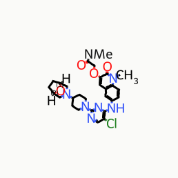 CNC(=O)COc1cc2cc(Nc3nc(N4CCC(N5C[C@H]6CC[C@@H](C5)O6)CC4)ncc3Cl)ccc2n(C)c1=O